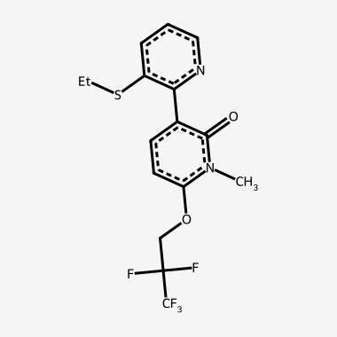 CCSc1cccnc1-c1ccc(OCC(F)(F)C(F)(F)F)n(C)c1=O